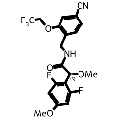 COc1cc(F)c([C@H](OC)C(=O)NCc2ccc(C#N)cc2OCC(F)(F)F)c(F)c1